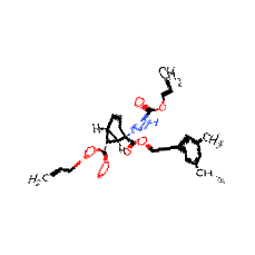 C=CCOC(=O)N[C@@]1(C(=O)OCc2cc(C)cc(C)c2)CC[C@H]2[C@@H](C(=O)OCC=C)[C@H]21